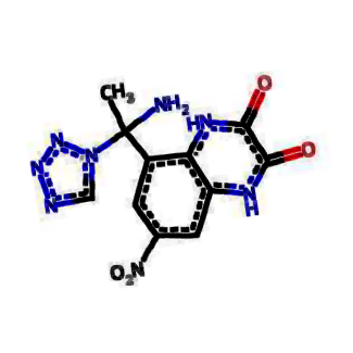 CC(N)(c1cc([N+](=O)[O-])cc2[nH]c(=O)c(=O)[nH]c12)n1cnnn1